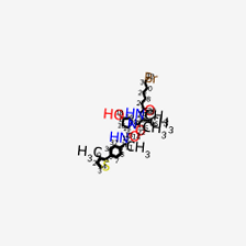 Cc1ccsc1-c1ccc([C@H](C)NC(=O)[C@@H]2C[C@@H](O)CN2C(=O)[C@H](NC(=O)CCCCCBr)C(C)(C)C)cc1